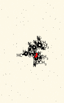 C#Cc1ccc(NC(=O)[C@H]2O[C@@H](O[C@@H]3[C@H](OC(C)=O)[C@H](N=[N+]=[N-])CC(N=[N+]=[N-])[C@H]3O[C@H]3OC(CN=[N+]=[N-])[C@@H](C)[C@H](C)[C@@H]3N=[N+]=[N-])[C@H](OC(C)=O)C2O[C@H]2O[C@@H](CN=[N+]=[N-])[C@@H](OC(C)=O)C(OC(C)=O)C2N=[N+]=[N-])cc1